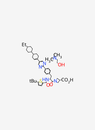 CCC1CCC(C2CC=C(c3cnc(-c4ccc(CC(NC(=O)c5ccc(C(C)(C)C)s5)C(=O)N5CC(C(=O)O)C5)cc4)nc3)CC2)CC1.CN(C)CCO